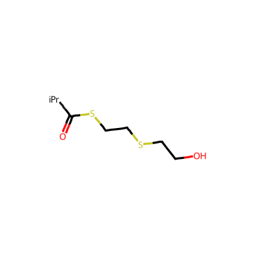 CC(C)C(=O)SCCSCCO